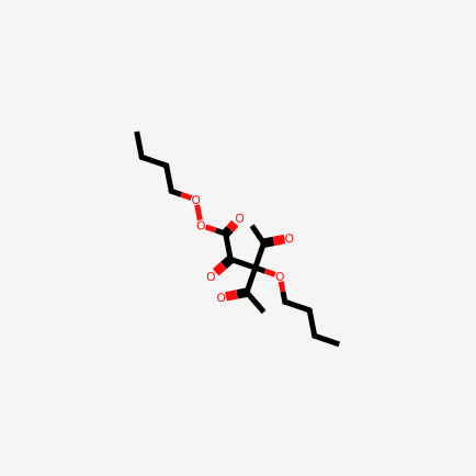 CCCCOOC(=O)C(=O)C(OCCCC)(C(C)=O)C(C)=O